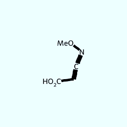 CON=C=CC(=O)O